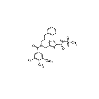 CCc1cc(C(=O)N(CCCc2ccccc2)Cc2nc(C(=O)NS(C)(=O)=O)cs2)cc(OC)c1C